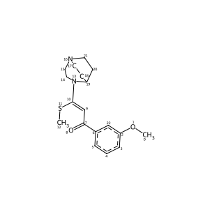 COc1cccc(C(=O)/C=C(\SC)N2CCN3CCC2CC3)c1